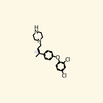 C/C(=C/CN1CCNCC1)c1ccc(Oc2ccc(Cl)cc2Cl)cc1